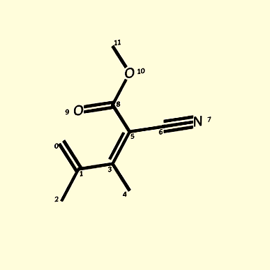 C=C(C)C(C)=C(C#N)C(=O)OC